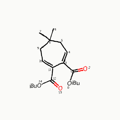 CC(C)COC(=O)C1=CCC(C)(C)CC=C1C(=O)OCC(C)C